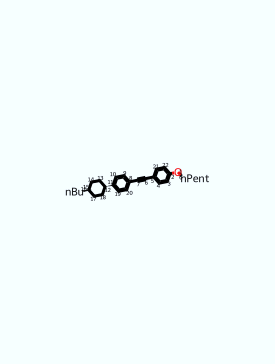 CCCCCOc1ccc(C#Cc2ccc([C@H]3CC[C@H](CCCC)CC3)cc2)cc1